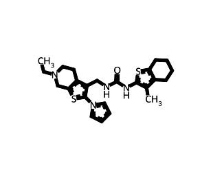 CCN1CCc2c(sc(-n3cccc3)c2CNC(=O)Nc2sc3c(c2C)CCCC3)C1